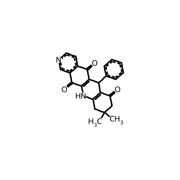 CC1(C)CC(=O)C2=C(C1)NC1=C(C(=O)c3ccncc3C1=O)C2c1ccccc1